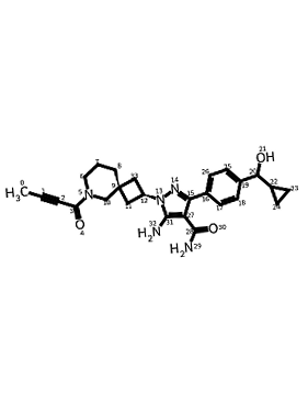 CC#CC(=O)N1CCC[C@]2(C1)C[C@H](n1nc(-c3ccc(C(O)C4CC4)cc3)c(C(N)=O)c1N)C2